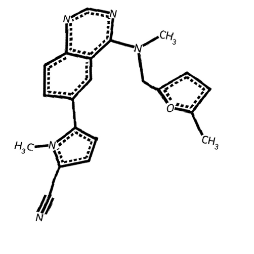 Cc1ccc(CN(C)c2ncnc3ccc(-c4ccc(C#N)n4C)cc23)o1